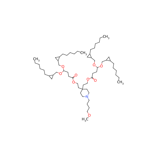 CCCCCCC1CC1COC(CCC(=O)OCCC1(CCOC(=O)CCC(OCC2CC2CCCCCC)OCC2CC2CCCCCC)CCN(CCCCOC)CC1)OCC1CC1CCCCCC